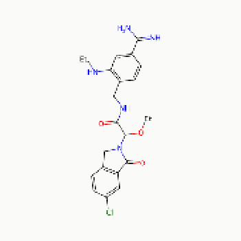 CCNc1cc(C(=N)N)ccc1CNC(=O)C(OCC)N1Cc2ccc(Cl)cc2C1=O